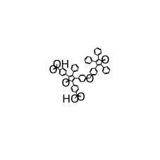 O=C1C(c2ccccc2)=C(c2ccccc2)C(c2ccc(Oc3ccc(C4=C(c5ccc(C(=O)O)cc5)C(=O)C(c5ccc(C(=O)O)cc5)=C4c4ccccc4)cc3)cc2)=C1c1ccccc1